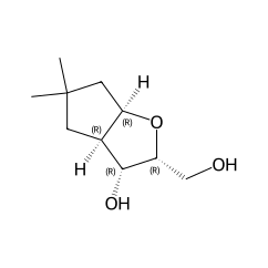 CC1(C)C[C@@H]2[C@@H](O)[C@@H](CO)O[C@@H]2C1